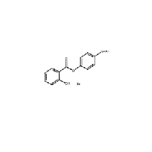 CC(=O)Nc1ccc(OC(=O)c2ccccc2O)cc1.[Fe]